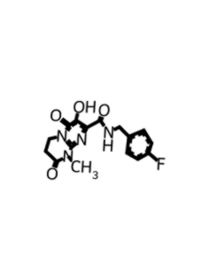 CN1C(=O)CCn2c1nc(C(=O)NCc1ccc(F)cc1)c(O)c2=O